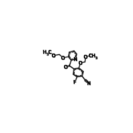 COCOc1cc(C#N)c(F)cc1C(=O)c1ncccc1OCOC